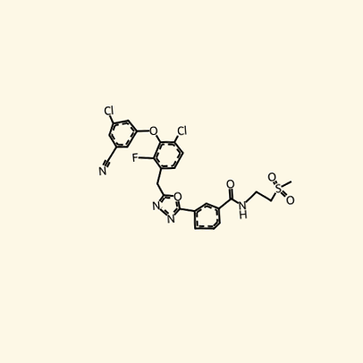 CS(=O)(=O)CCNC(=O)c1cccc(-c2nnc(Cc3ccc(Cl)c(Oc4cc(Cl)cc(C#N)c4)c3F)o2)c1